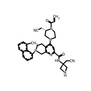 C=CC(=O)N1CCN(c2cc(C(=O)NC3(CC#N)CNC3)nc3c2CCN(c2cccc4cccc(C)c24)C3)C[C@@H]1CC#N